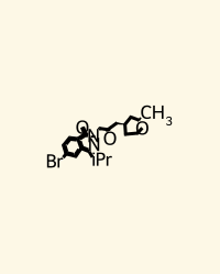 CC(C)c1nn(CC(=O)C[C@@H]2CCO[C@H](C)C2)c(=O)c2ccc(Br)cc12